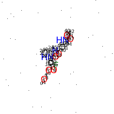 CCOCCCOC(=O)c1ccc(NC(=O)[C@H]2[C@H](C3CCCCC3)CCN2C(=O)C2CCC(C(C)NC(=O)OC(C)(C)C)CC2)cc1F